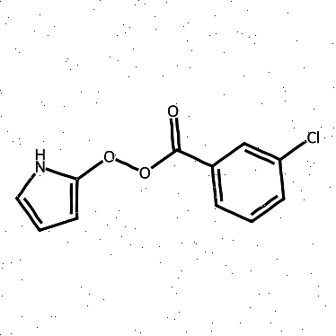 O=C(OOc1ccc[nH]1)c1cccc(Cl)c1